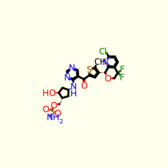 Cc1sc(C(=O)c2cncnc2N[C@@H]2C[C@H](COS(N)(=O)=O)[C@@H](O)C2)cc1[C@H]1OCC(F)(F)c2ccc(Cl)nc21